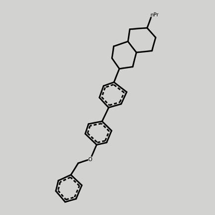 CCCC1CCC2CC(c3ccc(-c4ccc(OCc5ccccc5)cc4)cc3)CCC2C1